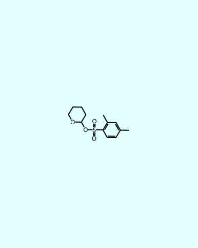 Cc1ccc(S(=O)(=O)OC2CCCCO2)c(C)c1